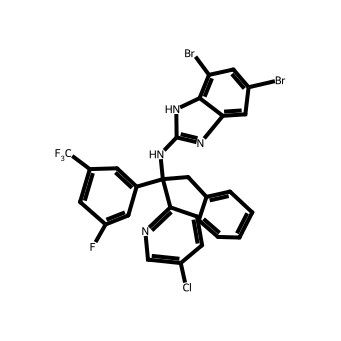 Fc1cc(C(F)(F)F)cc(C(Cc2ccccc2)(Nc2nc3cc(Br)cc(Br)c3[nH]2)c2ccc(Cl)cn2)c1